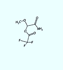 COC(OC(=O)C(F)(F)F)C(N)=O